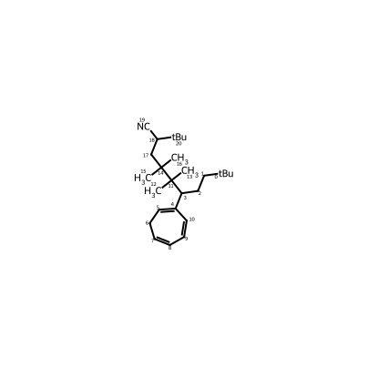 CC(C)(C)CCC(C1=CCC=CC=C1)C(C)(C)C(C)(C)CC(C#N)C(C)(C)C